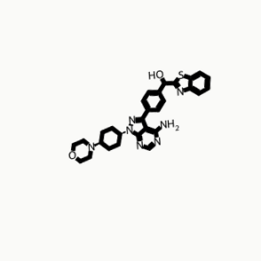 Nc1ncnc2c1c(-c1ccc(C(O)c3nc4ccccc4s3)cc1)nn2[C@H]1CC[C@H](N2CCOCC2)CC1